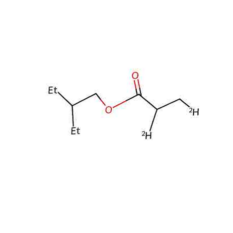 [2H]CC([2H])C(=O)OCC(CC)CC